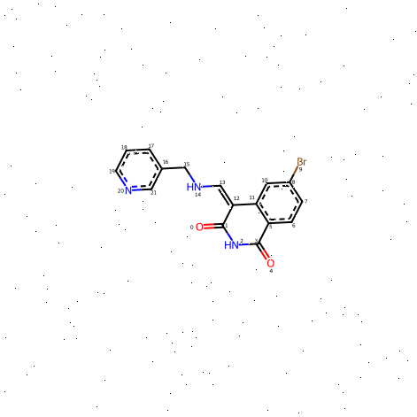 O=C1NC(=O)c2ccc(Br)cc2C1=CNCc1cccnc1